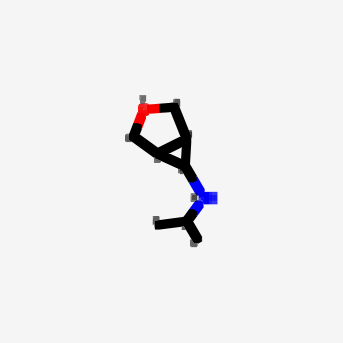 CC(C)NC1C2COCC21